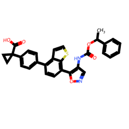 CC(OC(=O)Nc1cnoc1-c1ccc(-c2ccc(C3(C(=O)O)CC3)cc2)c2ccsc12)c1ccccc1